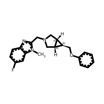 Cn1c(CN2C[C@@H]3[C@@H](COc4ccccc4)[C@@H]3C2)nc2ccc(F)cc21